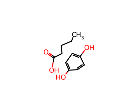 CCCCC(=O)O.Oc1ccc(O)cc1